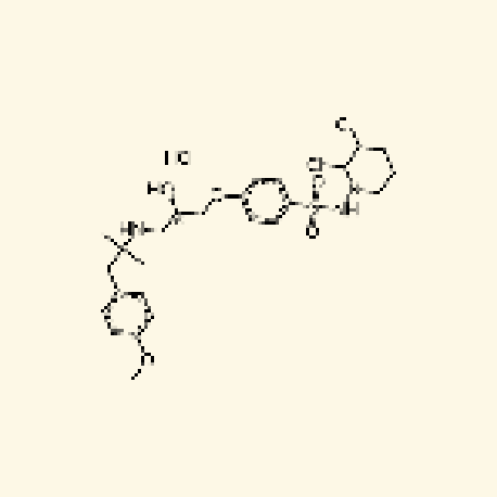 COc1ccc(CC(C)(C)NC[C@@H](O)COc2ccc(S(=O)(=O)NN3CCCC(Cl)C3Cl)cc2)cc1.Cl